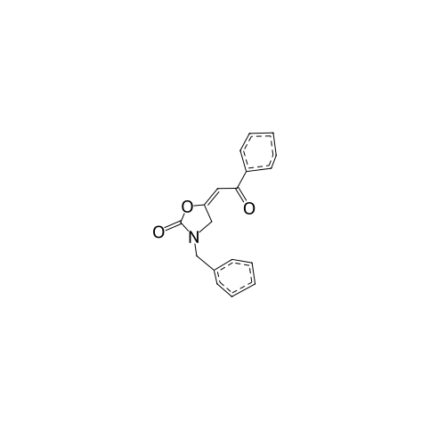 O=C(/C=C1\CN(Cc2ccccc2)C(=O)O1)c1ccccc1